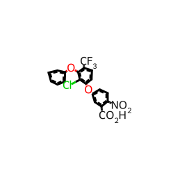 O=C(O)c1cc(Oc2ccc(C(F)(F)F)c(Oc3ccccc3)c2Cl)ccc1[N+](=O)[O-]